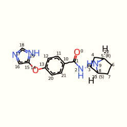 O=C(N[C@@H]1C[C@H]2CC[C@@H]1N2)c1ccc(Oc2cnc[nH]2)cc1